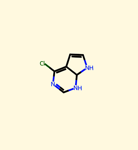 ClC1=C2C=CNC2NC=N1